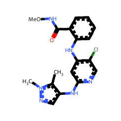 CONC(=O)c1ccccc1Nc1cc(Nc2cnn(C)c2C)ncc1Cl